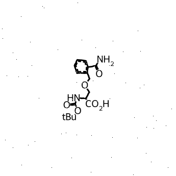 CC(C)(C)OC(=O)NC(COCc1ccccc1C(N)=O)C(=O)O